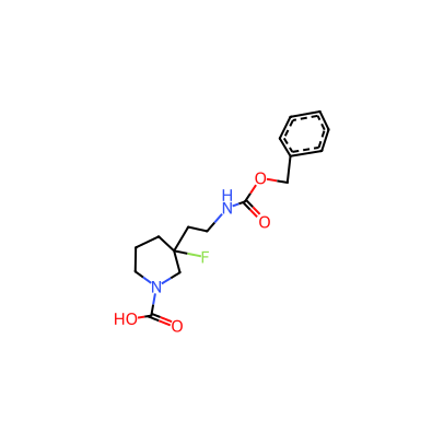 O=C(NCCC1(F)CCCN(C(=O)O)C1)OCc1ccccc1